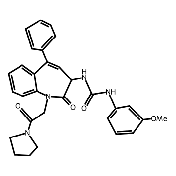 COc1cccc(NC(=O)NC2C=C(c3ccccc3)c3ccccc3N(CC(=O)N3CCCC3)C2=O)c1